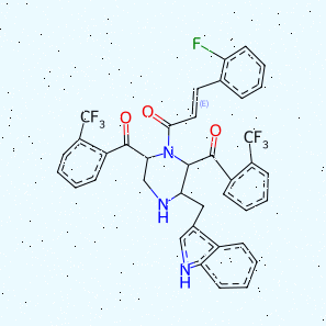 O=C(c1ccccc1C(F)(F)F)C1CNC(Cc2c[nH]c3ccccc23)C(C(=O)c2ccccc2C(F)(F)F)N1C(=O)/C=C/c1ccccc1F